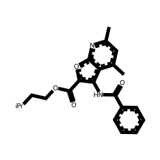 Cc1cc(C)c2c(NC(=O)c3ccccc3)c(C(=O)OCCC(C)C)oc2n1